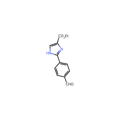 CCOC(=O)c1c[nH]c(-c2ccc(C=O)cc2)n1